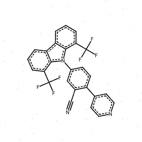 N#Cc1cc(-n2c3c(C(F)(F)F)cccc3c3cccc(C(F)(F)F)c32)ccc1-c1ccncc1